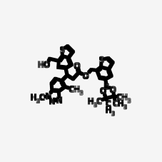 Cc1c(C(CC(=O)OCc2cc(B3OC(C)(C)C(C)(C)O3)cc3ccsc23)c2cc(CO)c3sccc3c2)ccc2c1nnn2C